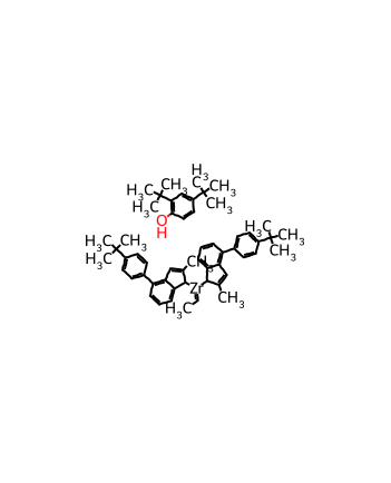 CC(C)(C)c1ccc(O)c(C(C)(C)C)c1.C[CH]=[Zr]([CH]1C(C)=Cc2c(-c3ccc(C(C)(C)C)cc3)cccc21)[CH]1C(C)=Cc2c(-c3ccc(C(C)(C)C)cc3)cccc21